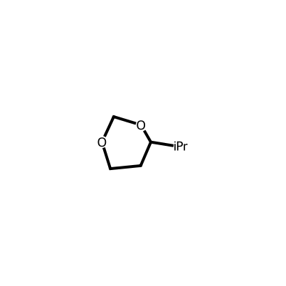 CC(C)C1CCOCO1